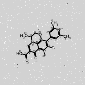 Cc1cc(-c2c(F)c(F)c3c(=O)c(C(=O)O)cn4c3c2OC[C@@H]4C)cc(C)n1